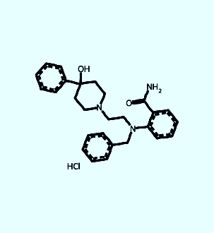 Cl.NC(=O)c1ccccc1N(CCN1CCC(O)(c2ccccc2)CC1)Cc1ccccc1